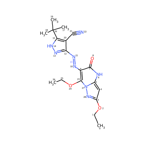 CCOc1cc2[nH]c(=O)c(/N=N/c3n[nH]c(C(C)(C)C)c3C#N)c(OCC)n2n1